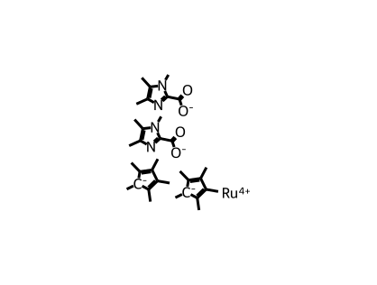 Cc1c(C)c(C)[c-](C)c1C.Cc1c(C)c(C)[c-](C)c1C.Cc1nc(C(=O)[O-])n(C)c1C.Cc1nc(C(=O)[O-])n(C)c1C.[Ru+4]